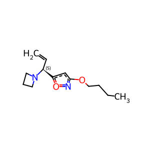 C=C[C@@H](c1cc(OCCCC)no1)N1CCC1